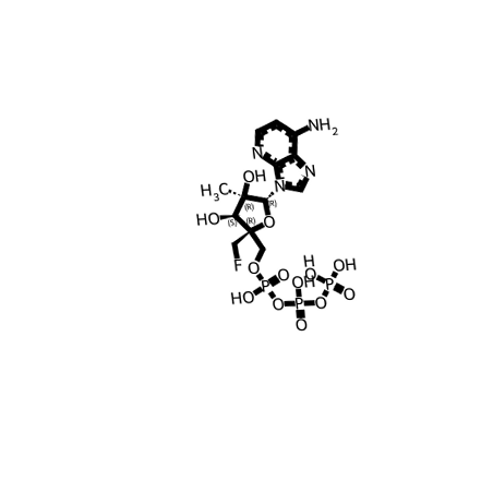 C[C@@]1(O)[C@H](O)[C@@](CF)(COP(=O)(O)OP(=O)(O)OP(=O)(O)O)O[C@H]1n1cnc2c(N)ccnc21